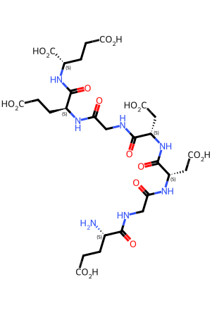 N[C@@H](CCC(=O)O)C(=O)NCC(=O)N[C@@H](CC(=O)O)C(=O)N[C@@H](CC(=O)O)C(=O)NCC(=O)N[C@@H](CCC(=O)O)C(=O)N[C@@H](CCC(=O)O)C(=O)O